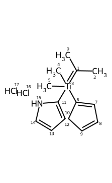 C[C](C)=[Ti]([CH3])([CH3])([C]1=CC=CC1)[c]1ccc[nH]1.Cl.Cl